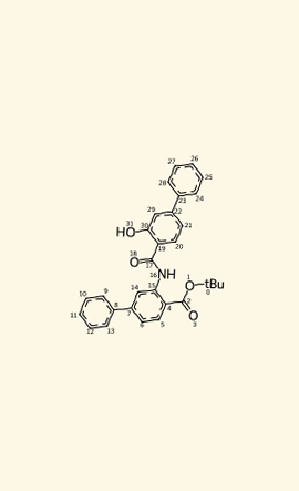 CC(C)(C)OC(=O)c1ccc(-c2ccccc2)cc1NC(=O)c1ccc(-c2ccccc2)cc1O